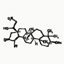 CC(=O)O[C@H]1CCC2(C)C(CC[C@]3(C)[C@@H]2CCC2C4=C(C(C)C)C(=O)C[C@]4(C(O)C[N+](=O)[O-])CC[C@]23C)C1(C)C